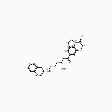 COc1ccccc1CC(C)NCCCCCC(=O)c1cc2c3c(c1)CCN3C(=O)CC2.Cl